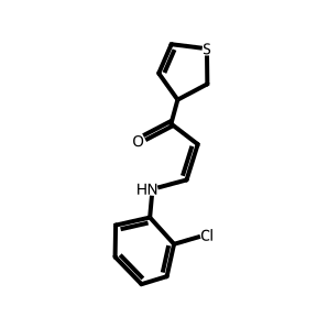 O=C(/C=C\Nc1ccccc1Cl)C1C=CSC1